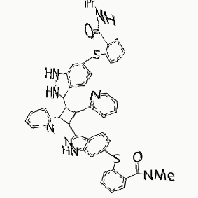 CNC(=O)c1ccccc1Sc1ccc2c(C3C(c4ccccn4)C(C4NNc5cc(Sc6ccccc6C(=O)NC(C)C)ccc54)C3c3ccccn3)n[nH]c2c1